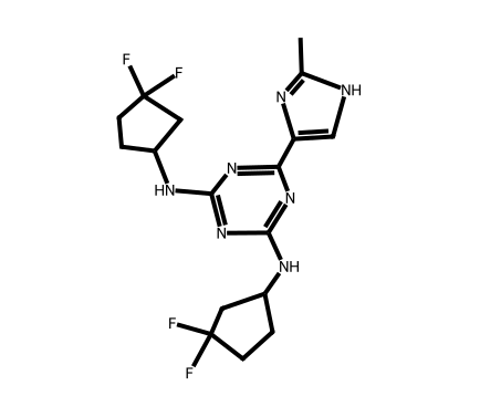 Cc1nc(-c2nc(NC3CCC(F)(F)C3)nc(NC3CCC(F)(F)C3)n2)c[nH]1